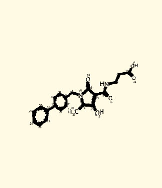 CC1C(O)=C(C(=O)NCCC(=O)O)C(=O)N1Cc1ccc(-c2ccccc2)cc1